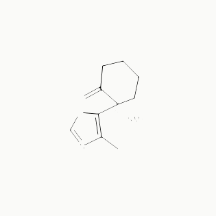 CN[C@@]1(c2scnc2F)CCCCC1=O